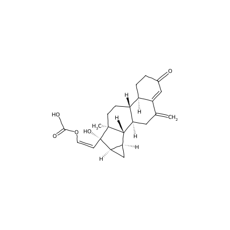 C=C1C[C@@H]2[C@H](CC[C@@]3(C)[C@H]2[C@H]2C[C@H]2[C@@]3(O)/C=C\OC(=O)O)[C@H]2CCC(=O)C=C12